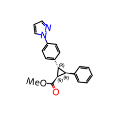 COC(=O)[C@@H]1[C@H](c2ccccc2)[C@H]1c1ccc(-n2cccn2)cc1